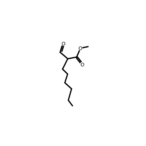 CCCCCCC(C=O)C(=O)OC